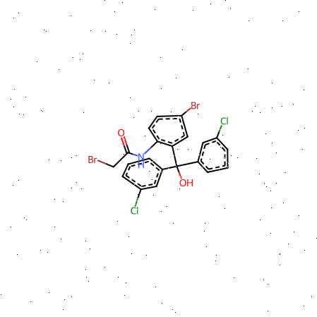 O=C(CBr)Nc1ccc(Br)cc1C(O)(c1cccc(Cl)c1)c1cccc(Cl)c1